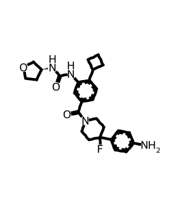 Nc1ccc(C2(F)CCN(C(=O)c3ccc(C4CCC4)c(NC(=O)N[C@@H]4CCOC4)c3)CC2)cc1